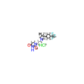 Cl.O=c1ccn(CCCN2C[C@@H]3C[C@]3(c3ccc(C(F)(F)F)cc3)C2)c(=O)[nH]1